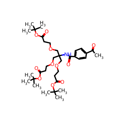 CC(=O)c1ccc(C(=O)NC(COCCC(=O)OC(C)(C)C)(COCCC(=O)OC(C)(C)C)COCCC(=O)OC(C)(C)C)cc1